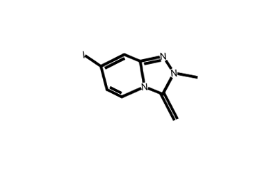 C=C1N(C)N=C2C=C(I)C=CN12